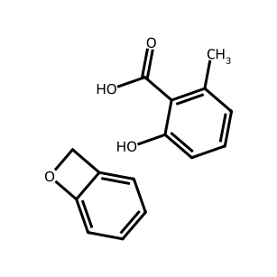 Cc1cccc(O)c1C(=O)O.c1ccc2c(c1)CO2